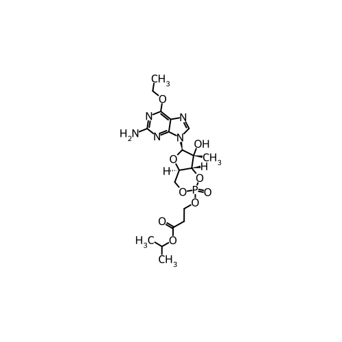 CCOc1nc(N)nc2c1ncn2[C@@H]1O[C@@H]2COP(=O)(OCCC(=O)OC(C)C)O[C@H]2[C@@]1(C)O